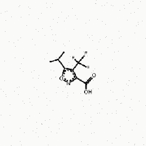 CC(C)c1onc(C(=O)O)c1C(F)(F)F